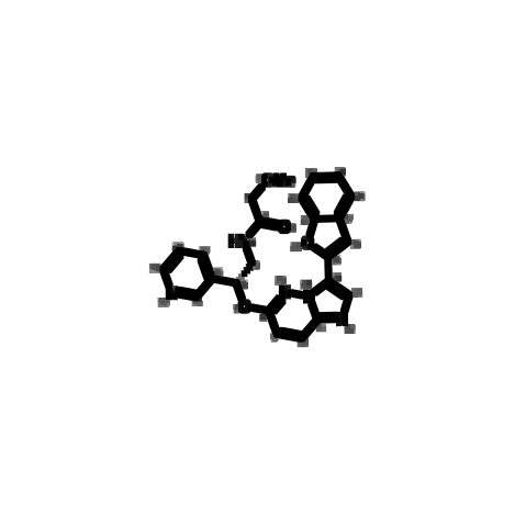 COCC(=O)NC[C@H](Oc1ccc2ncc(-c3cc4ccccc4o3)n2n1)c1cccnc1